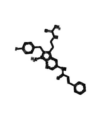 CC(=O)NCCc1c(Cc2ccc(F)cc2)n(C)c2ncc(NC(=O)C=Cc3ccccc3)cc12